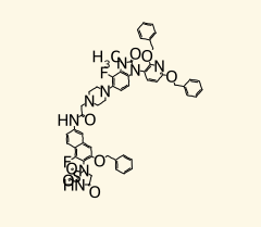 Cn1c(=O)n(-c2ccc(OCc3ccccc3)nc2OCc2ccccc2)c2ccc(N3CCN(CC(=O)Nc4ccc5c(F)c(N6CC(=O)NS6(=O)=O)c(OCc6ccccc6)cc5c4)CC3)c(F)c21